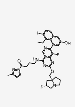 CCc1c(F)ccc2cc(O)cc(-c3ncc4c(NCCCC(=O)n5ccc(C)n5)nc(OC[C@@]56CCCN5C[C@H](F)C6)nc4c3F)c12